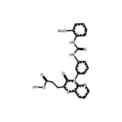 CCCOC(=O)CCc1nc2cccnc2n(-c2cccc(NC(=O)Nc3ccccc3OC)c2)c1=O